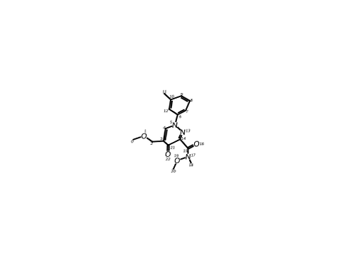 COCc1cn(-c2cccc(C)c2)nc(C(=O)N(C)OC)c1=O